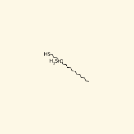 CCCCCCCCCCCCO[SiH2]CCCS